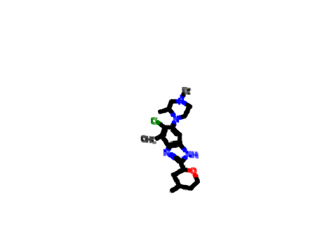 CCN1CCN(c2cc3[nH]c(C4CC(C)CCO4)nc3c(C=O)c2Cl)C(C)C1